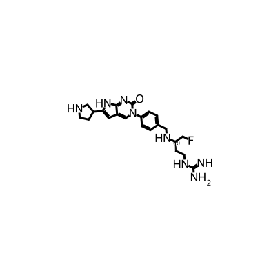 N=C(N)NCC[C@H](CF)NCc1ccc(-n2cc3cc(C4CCNC4)[nH]c3nc2=O)cc1